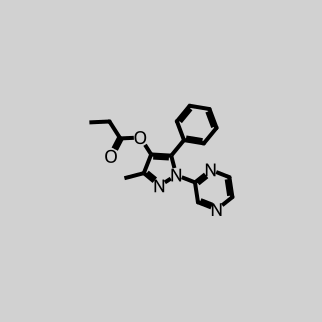 CCC(=O)Oc1c(C)nn(-c2cnccn2)c1-c1ccccc1